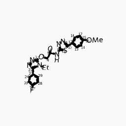 CCn1c(OCC(=O)Nc2nnc(-c3ccc(OC)cc3)s2)nnc1-c1ccc(F)cc1